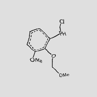 COCOc1c(OC)cccc1PCl